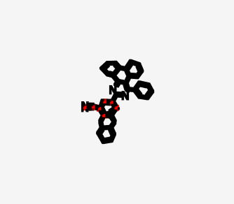 N#Cc1cccc2c1C1c3ccccc3C2c2cc(-c3nc(-c4ccccc4)c4c5ccccc5c5ccccc5c4n3)cc(C#N)c21